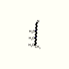 CC(C)=CCC/C(C)=C/CC/C(C)=C/CCCC#N